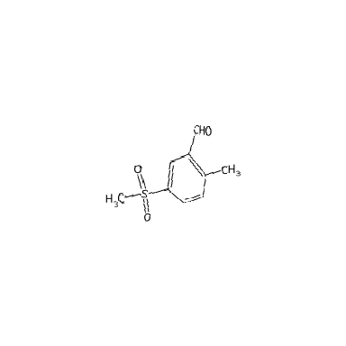 Cc1ccc(S(C)(=O)=O)cc1C=O